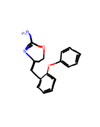 NC1=NC(Cc2ccccc2Oc2ccccc2)CO1